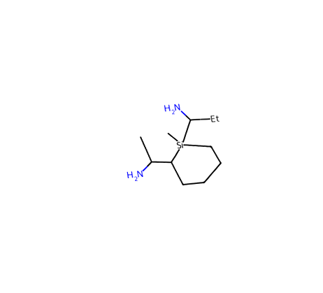 CCC(N)[Si]1(C)CCCCC1C(C)N